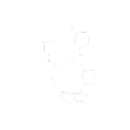 CN(C)CCC(=O)N1CCNc2ccn3ncc(c3n2)-c2cccc(c2)CN(S(=O)(=O)c2cccc([N+](=O)[O-])c2)CC1